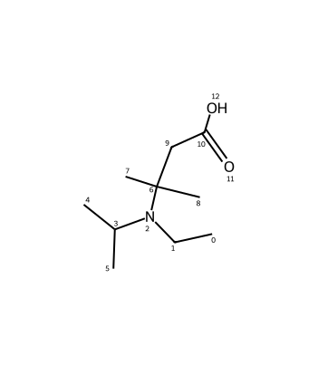 CCN(C(C)C)C(C)(C)CC(=O)O